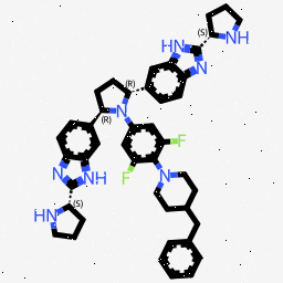 Fc1cc(N2[C@@H](c3ccc4nc([C@@H]5CCCN5)[nH]c4c3)CC[C@@H]2c2ccc3nc([C@@H]4CCCN4)[nH]c3c2)cc(F)c1N1CCC(Cc2ccccc2)CC1